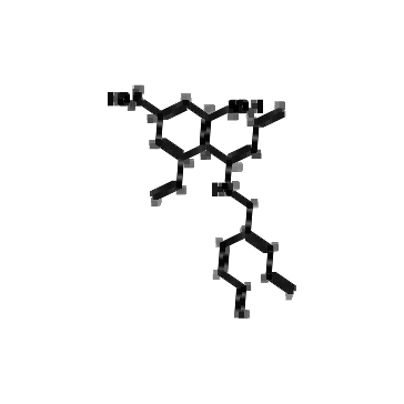 C=C/C=C\C(=C/C=C)CN/C(=C/C=C)c1c(C=C)cc(S(=O)(=O)O)cc1S(=O)(=O)O